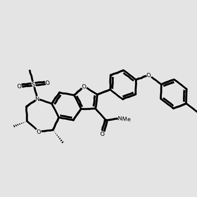 CNC(=O)c1c(-c2ccc(Oc3ccc(C)cc3)cc2)oc2cc3c(cc12)[C@H](C)O[C@H](C)CN3S(C)(=O)=O